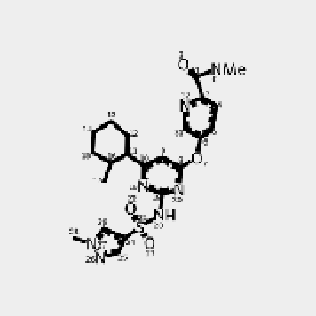 CNC(=O)c1ccc(Oc2cc(C3CCCCC3C)nc(NS(=O)(=O)c3cnn(C)c3)n2)cn1